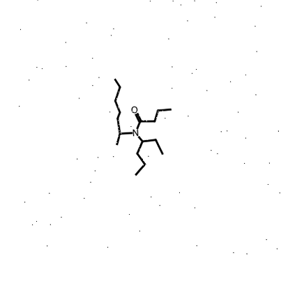 CCCCCC(C)N(C(=O)CCC)C(CC)CCC